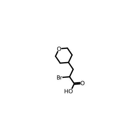 O=C(O)C(Br)CC1CCOCC1